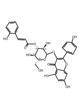 O=C(C=Cc1ccccc1O)O[C@H]1[C@H](O)[C@@H](CO)OC(Oc2c(-c3ccc(O)cc3)oc3cc(O)cc(O)c3c2=O)[C@@H]1O